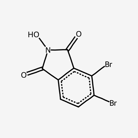 O=C1c2ccc(Br)c(Br)c2C(=O)N1O